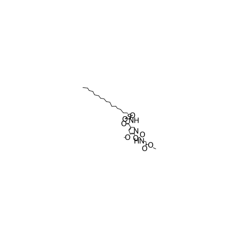 CCCCCCCCCCCCCCCCS(=O)(=O)NC(=O)c1cnc(OC(=O)NCC(=O)OCC)c(OC)c1